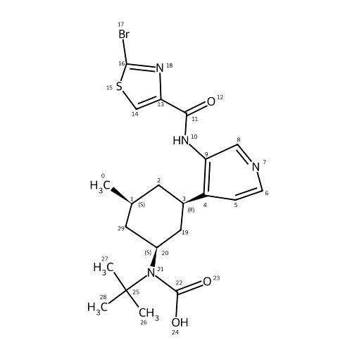 C[C@H]1C[C@@H](c2ccncc2NC(=O)c2csc(Br)n2)C[C@@H](N(C(=O)O)C(C)(C)C)C1